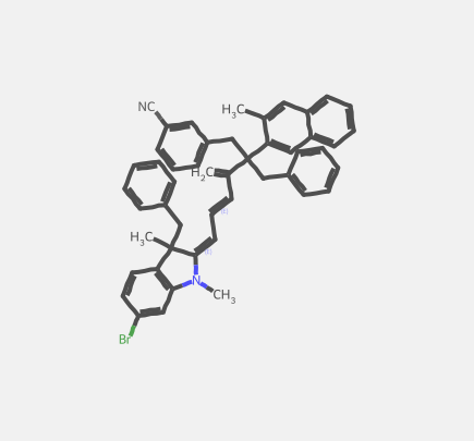 C=C(/C=C/C=C1/N(C)c2cc(Br)ccc2C1(C)Cc1ccccc1)C(Cc1ccccc1)(Cc1cccc(C#N)c1)c1cc2ccccc2cc1C